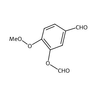 COOc1ccc(C=O)cc1OC=O